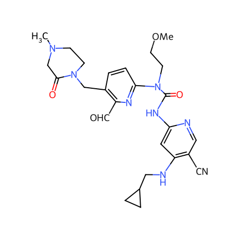 COCCN(C(=O)Nc1cc(NCC2CC2)c(C#N)cn1)c1ccc(CN2CCN(C)CC2=O)c(C=O)n1